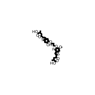 COc1cc2sc(C(=O)CC(C)C(=O)O)cc2c(F)c1OCCCOc1cc2cc(C(=O)CC(C)C(=O)O)sc2cc1O